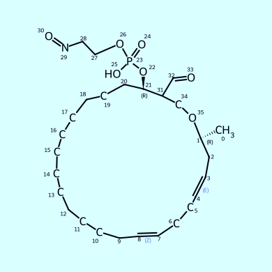 C[C@@H]1C/C=C/CC/C=C\CCCCCCCCCCCC[C@@H](OP(=O)(O)OCCN=O)C(C=O)CO1